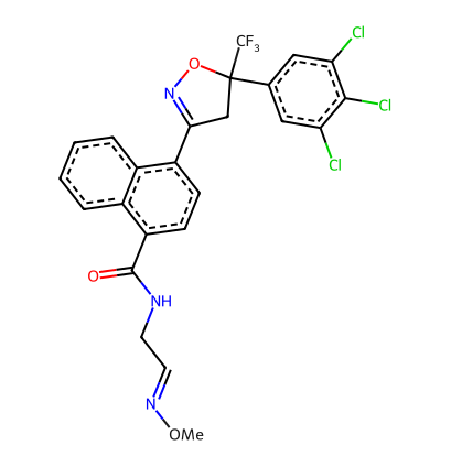 CON=CCNC(=O)c1ccc(C2=NOC(c3cc(Cl)c(Cl)c(Cl)c3)(C(F)(F)F)C2)c2ccccc12